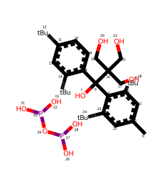 Cc1cc(C(C)(C)C)c(C(O)(c2ccc(C(C)(C)C)cc2C(C)(C)C)C(CO)(CO)CO)c(C(C)(C)C)c1.OP(O)OP(O)O